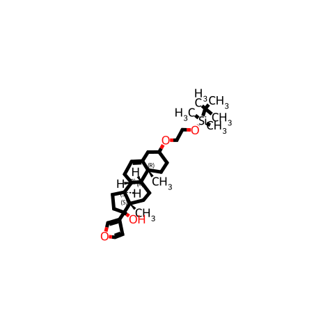 CC(C)(C)[Si](C)(C)OCCOC1CC[C@@]2(C)C(=CC[C@@H]3[C@H]2CC[C@@]2(C)[C@H]3CCC2(O)c2ccoc2)C1